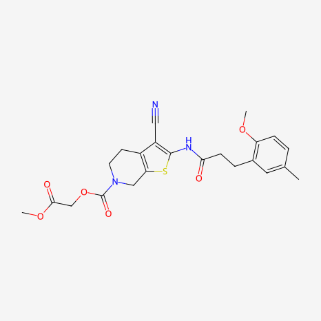 COC(=O)COC(=O)N1CCc2c(sc(NC(=O)CCc3cc(C)ccc3OC)c2C#N)C1